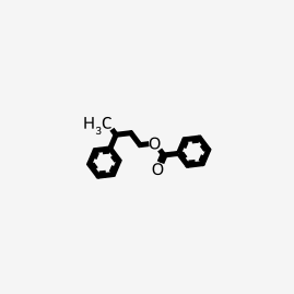 CC(CCOC(=O)c1ccccc1)c1ccccc1